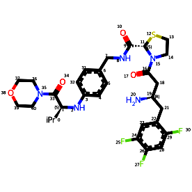 CC(C)[C@H](Nc1ccc(CNC(=O)[C@@H]2SCCN2C(=O)C[C@H](N)Cc2cc(F)c(F)cc2F)cc1)C(=O)N1CCOCC1